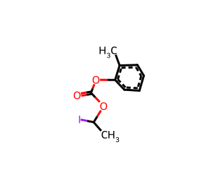 Cc1ccccc1OC(=O)OC(C)I